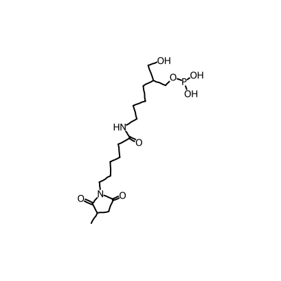 CC1CC(=O)N(CCCCCC(=O)NCCCCC(CO)COP(O)O)C1=O